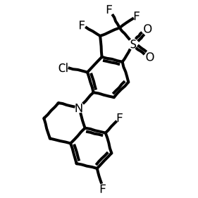 O=S1(=O)c2ccc(N3CCCc4cc(F)cc(F)c43)c(Cl)c2C(F)C1(F)F